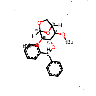 CC(C)(C)O[C@H]1[C@@H]2OC[C@@H](O2)[C@@H](OC(C)(C)C)[C@@H]1O[SiH](c1ccccc1)c1ccccc1